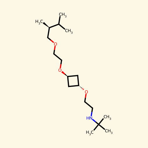 CC(C)[C@H](C)COCCO[C@H]1C[C@H](OCCNC(C)(C)C)C1